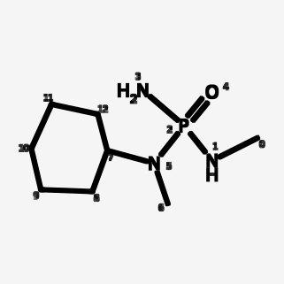 CNP(N)(=O)N(C)C1CCCCC1